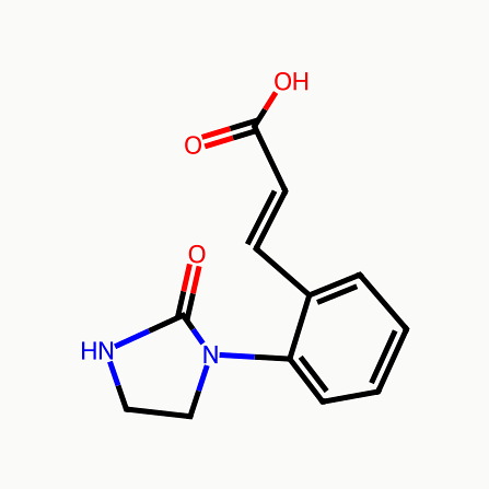 O=C(O)C=Cc1ccccc1N1CCNC1=O